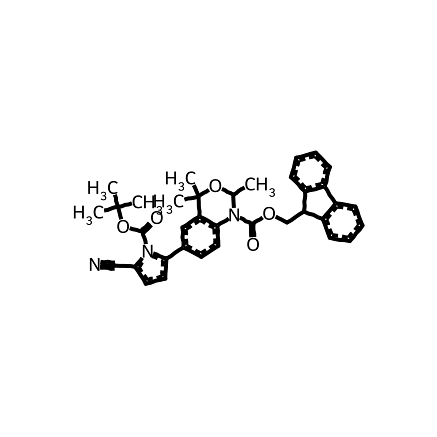 CC1OC(C)(C)c2cc(-c3ccc(C#N)n3C(=O)OC(C)(C)C)ccc2N1C(=O)OCC1c2ccccc2-c2ccccc21